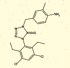 CCc1c(Cl)cc(Cl)c(CC)c1-n1nnn(Cc2ccc(N)c(C)c2)c1=O